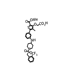 COC(=O)c1sc(-c2cccc(NC3CCN(S(=O)(=O)Cc4ccccc4C(F)(F)F)CC3)c2)c(C)c1OCC(=O)O